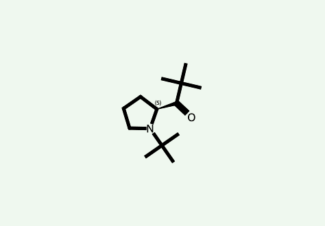 CC(C)(C)C(=O)[C@@H]1CCCN1C(C)(C)C